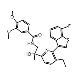 CCc1ccc(C(C)(O)CNC(=O)c2ccc(OC)c(OC)c2)nc1-c1csc2c(F)cccc12